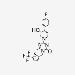 Cc1nc(N2CC=C(c3ccc(F)cc3)C(O)C2)nc(=O)n1Cc1ccc(C(F)(F)F)s1